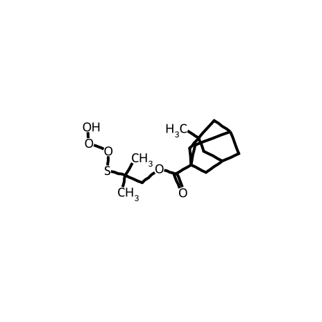 CC12CC3CC(C1)CC(C(=O)OCC(C)(C)SOOO)(C3)C2